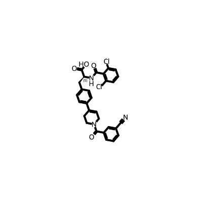 N#Cc1cccc(C(=O)N2CC=C(c3ccc(C[C@H](NC(=O)c4c(Cl)cccc4Cl)C(=O)O)cc3)CC2)c1